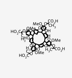 COc1cc(C2c3cc(c(O)cc3O)C(c3ccc(OC(C)C(=O)O)c(OC)c3)c3cc(c(O)cc3O)C(c3ccc(OC(C)C(=O)O)c(OC)c3)c3cc(c(O)cc3O)C(c3ccc(OC(C)C(=O)O)c(OC)c3)c3cc2c(O)cc3O)ccc1OC(C)C(=O)O